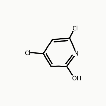 Oc1cc(Cl)cc(Cl)n1